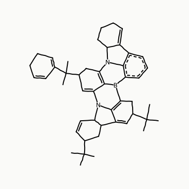 CC(C)(C)C1C=C2C3=C(C1)B1C4=C(CC(C(C)(C)C5=CCCC=C5)C=C4N3C3C=CC(C(C)(C)C)CC23)N2c3c1cccc3C1=CCCCC12